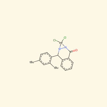 CC(C)(C)c1ccc(C2c3ccccc3C(=O)[N]3[N]2[Hf]3([Cl])[Cl])c(C(C)(C)C)c1